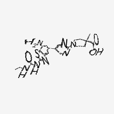 CCNC(=O)Nc1nc2cc(-c3cnc(N4CCC(C)(C(=O)O)CC4)nc3)cc(N)c2s1